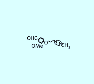 COc1cc(C=O)ccc1OCCCN1CCN(C)CC1